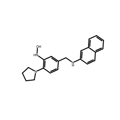 ONc1cc(CNc2ccc3ccccc3c2)ccc1N1CCCC1